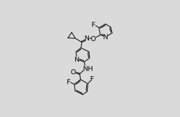 O=C(Nc1ccc(/C(=N\Oc2ncccc2F)C2CC2)cn1)c1c(F)cccc1F